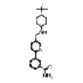 CC(C)(C)[C@H]1CC[C@@H](NCc2ccc(-c3cccc(C(N)=O)c3)nc2)CC1